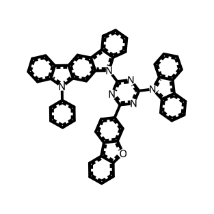 c1ccc(-n2c3ccccc3c3cc4c5ccccc5n(-c5nc(-c6ccc7c(c6)oc6ccccc67)nc(-n6c7ccccc7c7ccccc76)n5)c4cc32)cc1